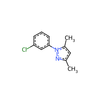 Cc1cc(C)n(-c2cccc(Cl)c2)n1